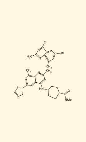 CNC(=O)C1CCC(Nc2nc(C)nc3c(C(F)(F)F)cc(-c4cncs4)cc23)CC1.Cc1nc(Cl)c2cc(Br)cc(C)c2n1